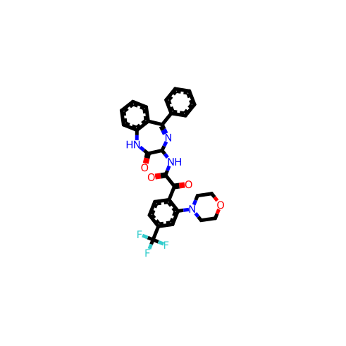 O=C(NC1N=C(c2ccccc2)c2ccccc2NC1=O)C(=O)c1ccc(C(F)(F)F)cc1N1CCOCC1